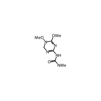 CNC(=O)NC1=NCN(OC)C(OC)=N1